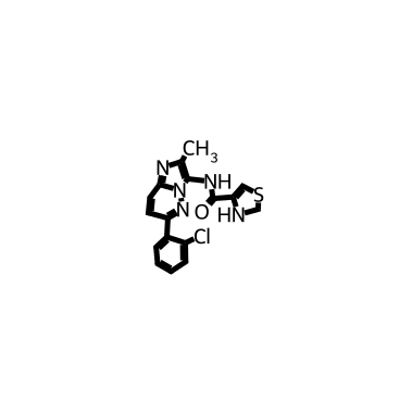 Cc1nc2ccc(-c3ccccc3Cl)nn2c1NC(=O)C1=CSCN1